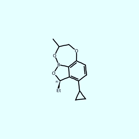 CC[C@H]1OB2OC(C)COc3ccc(C4CC4)c1c32